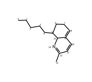 CCCCCC1CCC=C2C=CC(C)=NC21